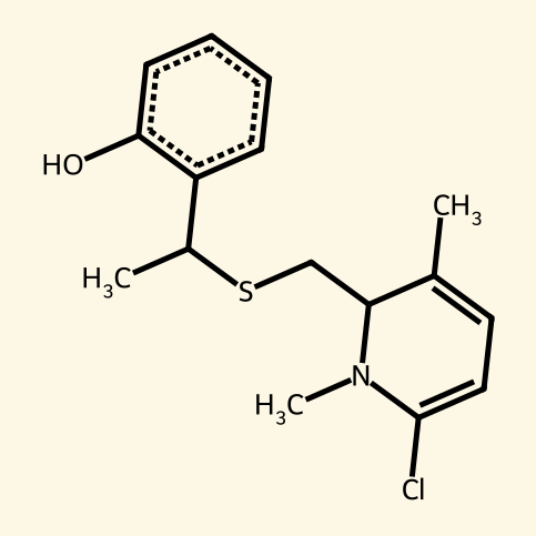 CC1=CC=C(Cl)N(C)C1CSC(C)c1ccccc1O